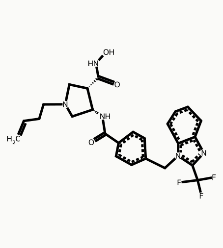 C=CCCN1C[C@H](C(=O)NO)[C@H](NC(=O)c2ccc(Cn3c(C(F)(F)F)nc4ccccc43)cc2)C1